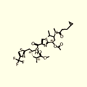 COC(=O)[C@@H](C)C[C@H](Cc1nc(C(F)(F)F)cs1)NC(=O)c1csc([C@@H](CC(C(C)C)N(C)C(=O)CCC2CC2)OC(C)=O)n1